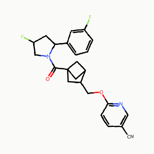 N#Cc1ccc(OCC2CC3(C(=O)N4CC(F)CC4c4cccc(F)c4)CC2C3)nc1